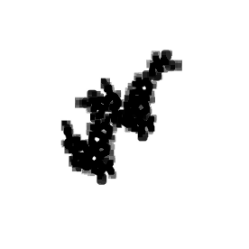 CC(C)C1=C2[C@H]3CCC4[C@@]5(C)CC[C@H](OC(=O)CC(C)(C)C(=O)O)C(C)(C)C5CC[C@@]4(C)[C@]3(C)CC[C@@]2(Cc2nnc(-c3ccc(C#N)c(CC(C)(CC(=O)O[C@H]4CC[C@@]5(C)C(CC[C@]6(C)C5CC[C@@H]5C7=C(C(C)C)C(=O)C[C@]7(Cc7nnc(-c8ncc(C#N)cn8)n7CCN)CC[C@]56C)C4(C)C)C(=O)O)n3)n2CCN)CC1=O